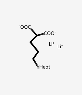 CCCCCCCCCCC(C(=O)[O-])C(=O)[O-].[Li+].[Li+]